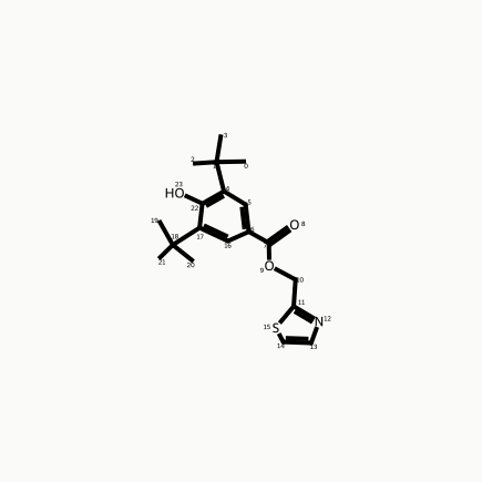 CC(C)(C)c1cc(C(=O)OCc2nccs2)cc(C(C)(C)C)c1O